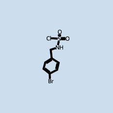 O=S(=O)(Cl)NCc1ccc(Br)cc1